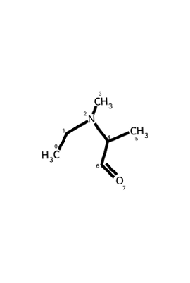 CCN(C)C(C)[C]=O